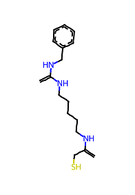 C=C(CS)NCCCCCNC(=C)NCc1ccccc1